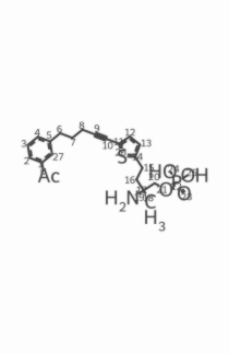 CC(=O)c1cccc(CCCC#Cc2ccc(CCC(C)(N)COP(=O)(O)O)s2)c1